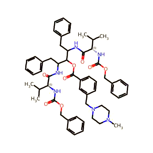 CC(C)[C@H](NC(=O)OCc1ccccc1)C(=O)NC(Cc1ccccc1)C(OC(=O)c1cccc(CN2CCN(C)CC2)c1)C(Cc1ccccc1)NC(=O)[C@@H](NC(=O)OCc1ccccc1)C(C)C